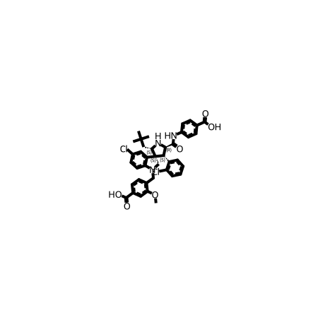 COc1cc(C(=O)O)ccc1CN1C[C@]2(c3cc(Cl)ccc31)[C@H](CC(C)(C)C)N[C@@H](C(=O)Nc1ccc(C(=O)O)cc1)[C@@H]2c1ccccc1Cl